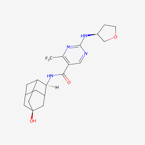 O=C(N[C@H]1C2CC3CC1C[C@@](O)(C3)C2)c1cnc(N[C@H]2CCOC2)nc1C(F)(F)F